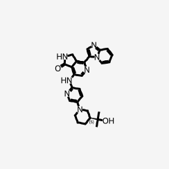 CC(C)(O)[C@H]1CCCN(c2ccc(Nc3cnc(-c4cnc5ccccn45)c4c3C(=O)NC4)nc2)C1